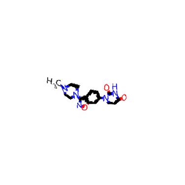 CN1CCN(c2noc3cc(-n4ccc(=O)[nH]c4=O)ccc23)CC1